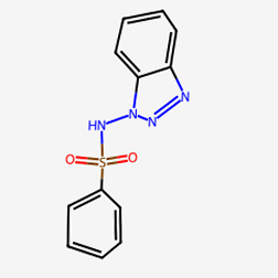 O=S(=O)(Nn1nnc2ccccc21)c1ccccc1